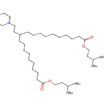 CCCCC(CCCC)CCOC(=O)CCCCCCCCCC(CCCCCCCCCC(=O)OCCC(CCCC)CCCC)CCN1CCOCC1